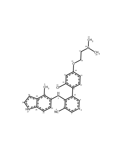 Cc1c(Nc2c(C#N)cncc2-c2ccc(OCCN(C)C)cc2Cl)ccc2[nH]ccc12